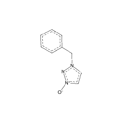 [O-][n+]1ccn(Cc2ccccc2)n1